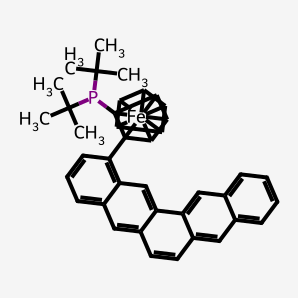 CC(C)(C)P(C(C)(C)C)[C]12[CH]3[CH]4[CH]5[C]1(c1cccc6cc7ccc8cc9ccccc9cc8c7cc16)[Fe]45321678[CH]2[CH]1[CH]6[CH]7[CH]28